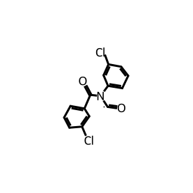 O=[C]N(C(=O)c1cccc(Cl)c1)c1cccc(Cl)c1